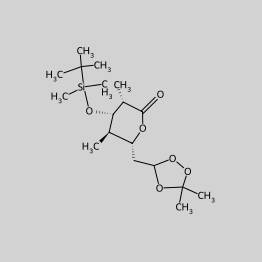 C[C@H]1[C@H](O[Si](C)(C)C(C)(C)C)[C@H](C)C(=O)O[C@@H]1CC1OOC(C)(C)O1